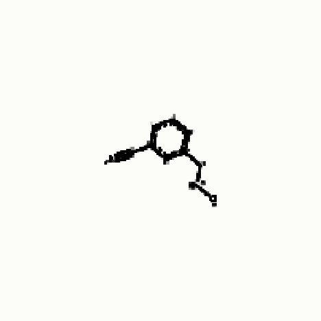 N#Cc1cccc(CNCl)c1